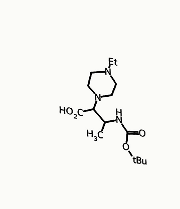 CCN1CCN(C(C(=O)O)C(C)NC(=O)OC(C)(C)C)CC1